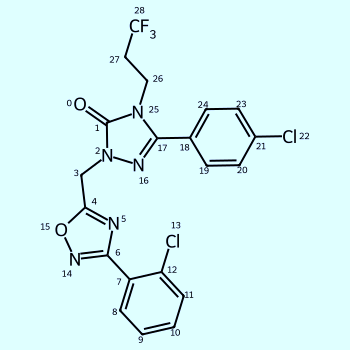 O=c1n(Cc2nc(-c3ccccc3Cl)no2)nc(-c2ccc(Cl)cc2)n1CCC(F)(F)F